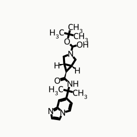 CC(C)(C)OC(O)N1C[C@@H]2[C@H](C1)[C@H]2C(=O)NC(C)(C)c1ccn2ccnc2c1